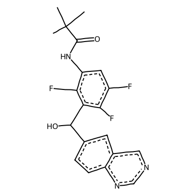 CC(C)(C)C(=O)Nc1cc(F)c(F)c(C(O)c2ccc3ncncc3c2)c1F